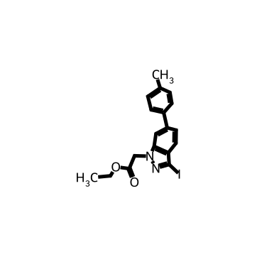 CCOC(=O)Cn1nc(I)c2ccc(-c3ccc(C)cc3)cc21